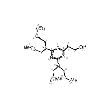 CCCCOCN(COC)c1nc(NCO)nc(N(COC)COSC)n1